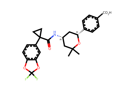 CC1(C)C[C@H](NC(=O)C2(c3ccc4c(c3)OC(F)(F)O4)CC2)C[C@H](c2ccc(C(=O)O)cc2)O1